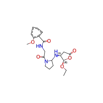 CCO[C@@H]1OC(=O)C[C@@H]1NC1CCCN1C(=O)CNC(=O)c1ccccc1OC